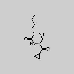 CCCC[C@@H]1NC[C@@H](C(=O)C2CC2)NC1=O